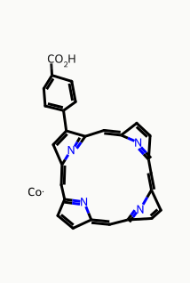 O=C(O)c1ccc(C2=CC3=CC4=NC(=CC5=NC(=CC6=NC(=CC2=N3)C=C6)C=C5)C=C4)cc1.[Co]